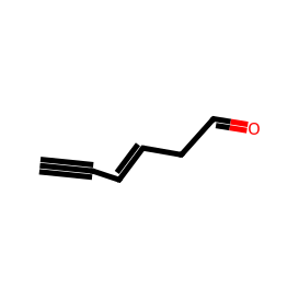 C#CC=CCC=O